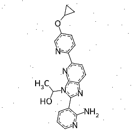 CC(O)n1c(-c2cccnc2N)nc2ccc(-c3ccc(OC4CC4)cn3)nc21